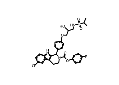 CC(C)S(=O)(=O)NCC(O)COc1ccc(C2c3[nH]c4ccc(Cl)cc4c3CCN2C(=O)Oc2ccc(F)cc2)cc1